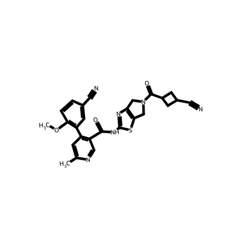 COc1ccc(C#N)cc1-c1cc(C)ncc1C(=O)Nc1nc2c(s1)CN(C(=O)C1CC(C#N)C1)C2